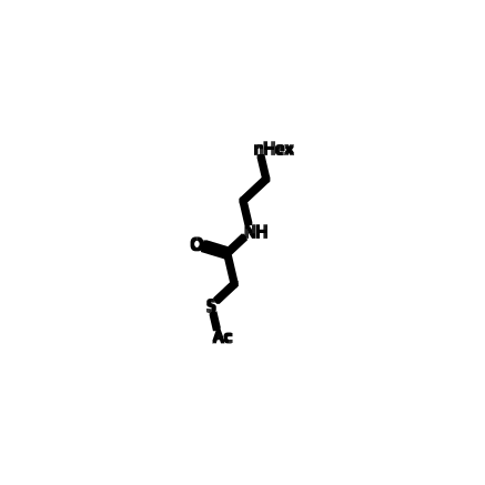 CCCCCCCCNC(=O)CSC(C)=O